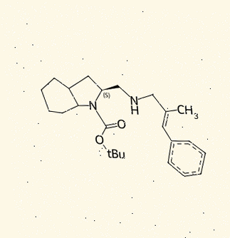 CC(=Cc1ccccc1)CNC[C@@H]1CC2CCCCC2N1C(=O)OC(C)(C)C